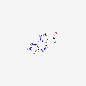 O=C(O)c1cnn2c1cnc1c[nH]nc12